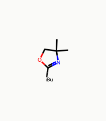 CCC(C)C1=NC(C)(C)CO1